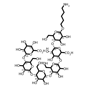 NCCCCCO[C@@H]1OC(CO)[C@@H](O[C@@H]2OC(C(=O)O)[C@@H](O[C@H]3OC(CO)[C@H](O[C@H]4OC(CO)[C@@H](O[C@@H]5OC(CO)[C@@H](O[C@@H]6OC(C(=O)O)[C@@H](O)C(O)[C@@H]6O)C(O)[C@@H]5O)[C@H](O)C4O)[C@H](O)C3O)C(O)[C@@H]2O)C(O)[C@@H]1O